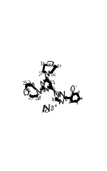 [Na+].[O-]c1ccccc1-c1ncn(-c2cc(N3CCOCC3)nc(N3CCOCC3)n2)n1